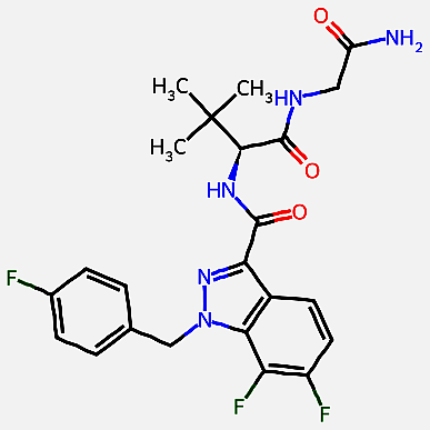 CC(C)(C)[C@H](NC(=O)c1nn(Cc2ccc(F)cc2)c2c(F)c(F)ccc12)C(=O)NCC(N)=O